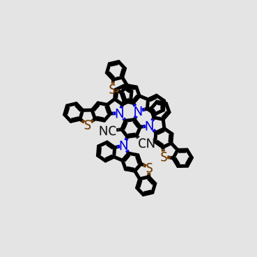 N#Cc1c(-n2c3ccccc3c3cc4c(cc32)sc2ccccc24)c(C#N)c(-n2c3ccccc3c3cc4c(cc32)sc2ccccc24)c(-n2c3ccccc3c3cc4c(cc32)sc2ccccc24)c1-n1c2ccccc2c2cc3c(cc21)sc1ccccc13